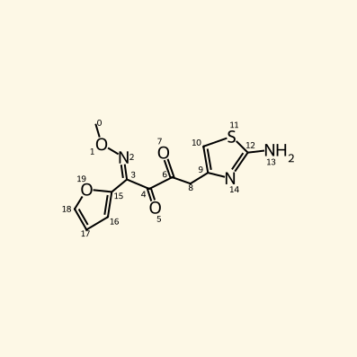 CON=C(C(=O)C(=O)Cc1csc(N)n1)c1ccco1